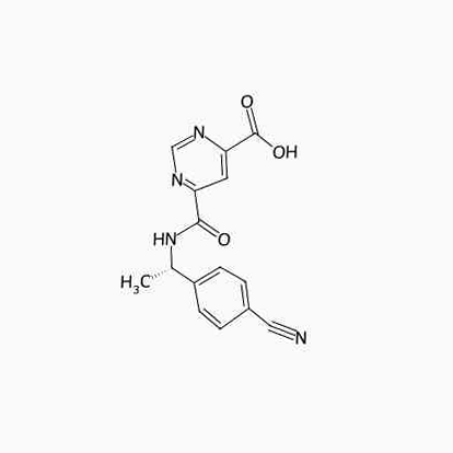 C[C@H](NC(=O)c1cc(C(=O)O)ncn1)c1ccc(C#N)cc1